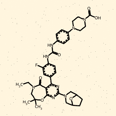 CCN1CC(C)(C)Oc2nc(N3CC4CCC(C3)O4)nc(-c3ccc(NC(=O)Nc4ccc(N5CCN(C(=O)O)CC5)cc4)c(F)c3)c2C1=O